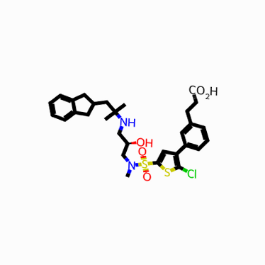 CN(C[C@H](O)CNC(C)(C)CC1Cc2ccccc2C1)S(=O)(=O)c1cc(-c2cccc(CCC(=O)O)c2)c(Cl)s1